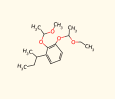 CCOC(C)Oc1cccc(C(C)CC)c1OC(C)OC